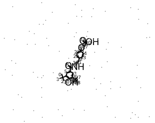 CC(C)(C)c1cc(C(=O)NCCc2ccc(OCC(=O)O)cc2)cc(C(C)(C)C)c1O